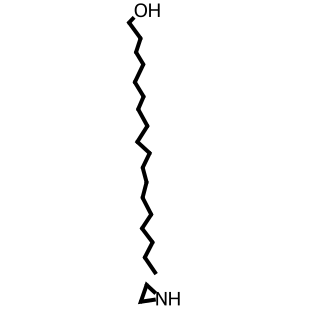 C1CN1.CCCCCCCCCCCCCCCCCCO